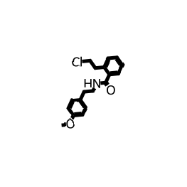 COc1ccc(CCNC(=O)c2ccccc2CCCl)cc1